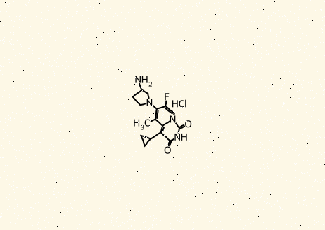 Cc1c(N2CCC(N)C2)c(F)cn2c(=O)[nH]c(=O)c(C3CC3)c12.Cl